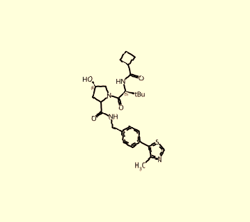 Cc1ncsc1-c1ccc(CNC(=O)C2C[C@@H](O)CN2C(=O)[C@@H](NC(=O)C2CCC2)C(C)(C)C)cc1